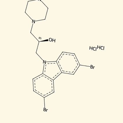 Cl.Cl.O[C@H](CN1CCNCC1)Cn1c2ccc(Br)cc2c2cc(Br)ccc21